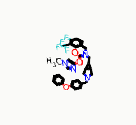 Cn1cnc(OC(=O)N(Cc2ccc(F)c(C(F)(F)F)c2)CC2C3CN(Cc4ccc(Oc5ccccc5)cc4)CC32)c1